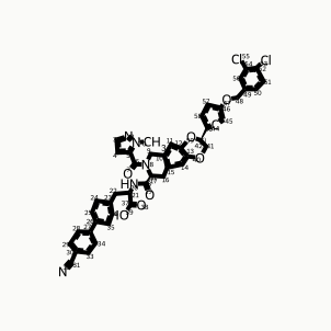 Cn1nccc1C(=O)N1Cc2cc3c(cc2C[C@H]1C(=O)NC(Cc1ccc(-c2ccc(C#N)cc2)cc1)C(=O)O)OC[C@H](c1ccc(OCc2ccc(Cl)c(Cl)c2)cc1)O3